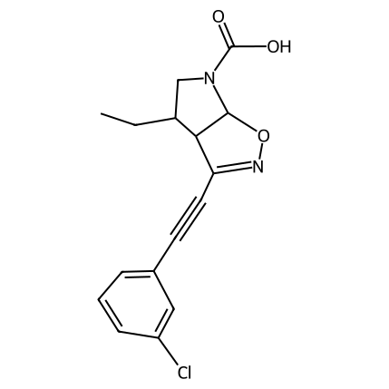 CCC1CN(C(=O)O)C2ON=C(C#Cc3cccc(Cl)c3)C12